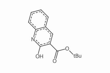 CC(C)(C)OC(=O)c1cc2ccccc2nc1O